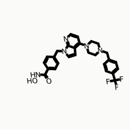 O=C(NO)c1ccc(Cn2ccc3c(N4CCN(Cc5ccc(C(F)(F)F)cc5)CC4)ccnc32)cc1